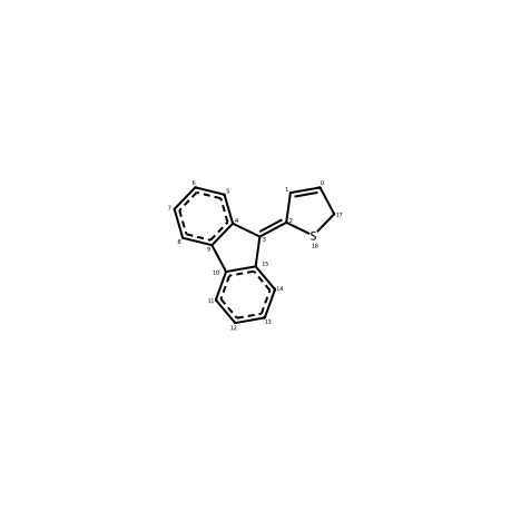 C1=CC(=C2c3ccccc3-c3ccccc32)SC1